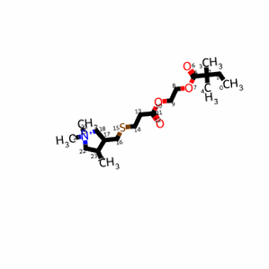 CCC(C)(C)C(=O)OCCOC(=O)CCSCC1C[N+](C)(C)CC1C